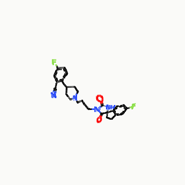 N#Cc1cc(F)ccc1C1CCN(CCCN2C(=O)NC3(CCc4cc(F)ccc43)C2=O)CC1